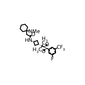 CNC1(CC(=O)N[C@H]2C[C@@H](C(C)(C)S(=O)(=O)c3cc(F)cc(C(F)(F)F)c3)C2)CCCCC1